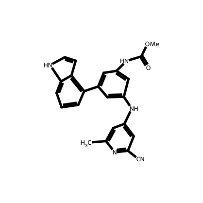 COC(=O)Nc1cc(Nc2cc(C)nc(C#N)c2)cc(-c2cccc3[nH]ccc23)c1